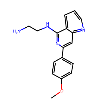 COc1ccc(-c2cc3ncccc3c(NCCN)n2)cc1